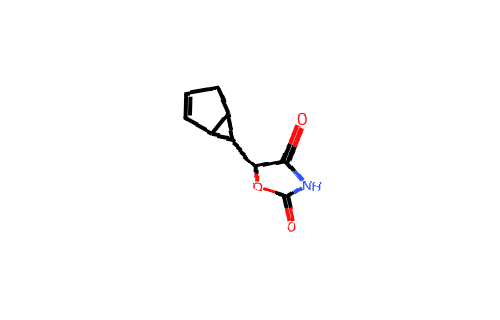 O=C1NC(=O)C(C2C3C=CCC32)O1